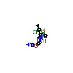 O=c1c(-c2c(Cl)cc(C3CC3)cc2Cl)cc2cnc(Nc3ccc(OC4CCNCC4)cc3)nc2n1C1CCCC1